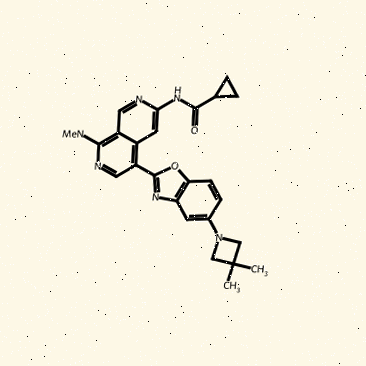 CNc1ncc(-c2nc3cc(N4CC(C)(C)C4)ccc3o2)c2cc(NC(=O)C3CC3)ncc12